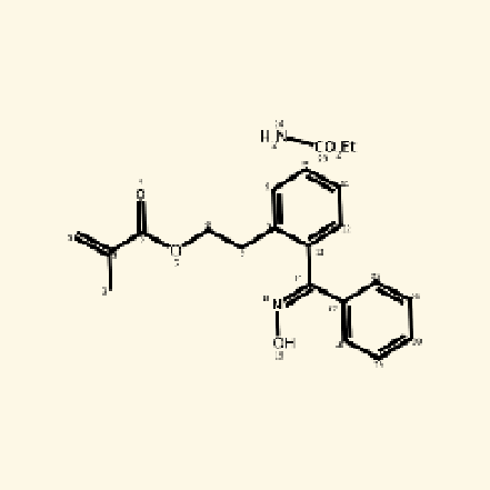 C=C(C)C(=O)OCCc1ccccc1C(=NO)c1ccccc1.CCOC(N)=O